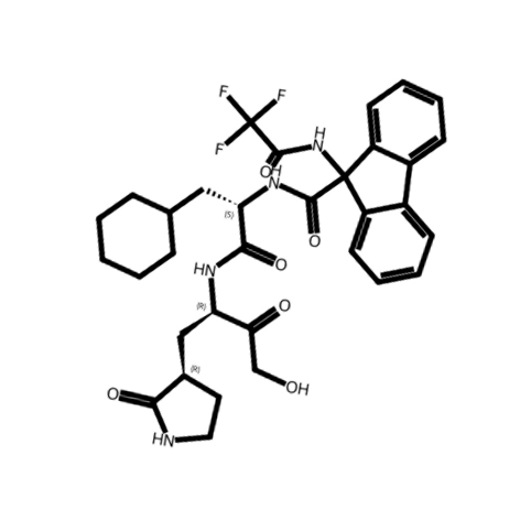 O=C1NCC[C@@H]1C[C@@H](NC(=O)[C@H](CC1CCCCC1)NC(=O)C1(NC(=O)C(F)(F)F)c2ccccc2-c2ccccc21)C(=O)CO